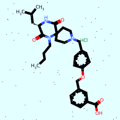 CCCCN1C(=O)[C@H](CC(C)C)NC(=O)C12CCN(Cc1ccc(OCc3cccc(C(=O)O)c3)cc1)CC2.Cl